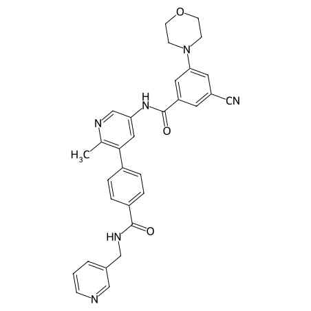 Cc1ncc(NC(=O)c2cc(C#N)cc(N3CCOCC3)c2)cc1-c1ccc(C(=O)NCc2cccnc2)cc1